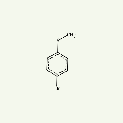 [CH2]Sc1ccc(Br)cc1